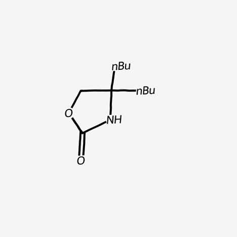 CCCCC1(CCCC)COC(=O)N1